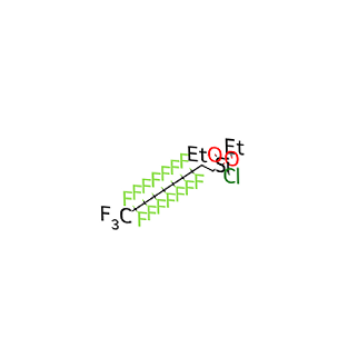 CCO[Si](Cl)(CCC(F)(F)C(F)(F)C(F)(F)C(F)(F)C(F)(F)C(F)(F)C(F)(F)C(F)(F)F)OCC